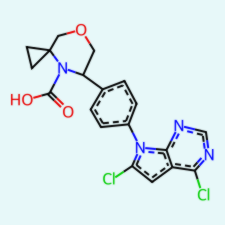 O=C(O)N1C(c2ccc(-n3c(Cl)cc4c(Cl)ncnc43)cc2)COCC12CC2